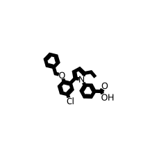 CCc1ccc(-c2cc(Cl)ccc2OCc2ccccc2)n1-c1cccc(C(=O)O)c1